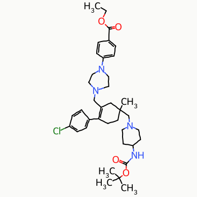 CCOC(=O)c1ccc(N2CCN(CC3=C(c4ccc(Cl)cc4)CCC(C)(CN4CCC(NC(=O)OC(C)(C)C)CC4)C3)CC2)cc1